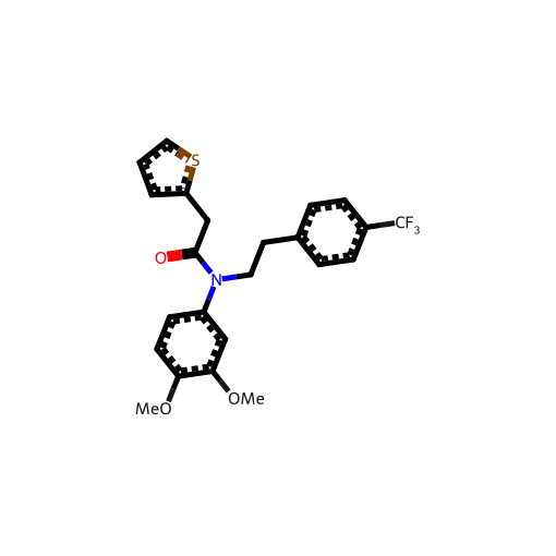 COc1ccc(N(CCc2ccc(C(F)(F)F)cc2)C(=O)Cc2cccs2)cc1OC